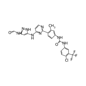 Cc1cc(NC(=O)Nc2ccc(Cl)c(C(F)(F)F)c2)ccc1-c1nccc(Nc2cc(NC=O)n[nH]2)n1